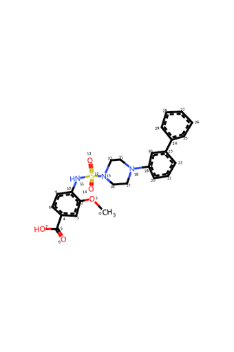 COc1cc(C(=O)O)ccc1NS(=O)(=O)N1CCN(c2cccc(-c3ccccc3)c2)CC1